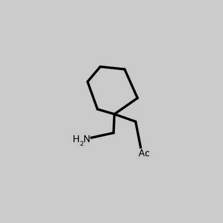 CC(=O)CC1(CN)CCCCC1